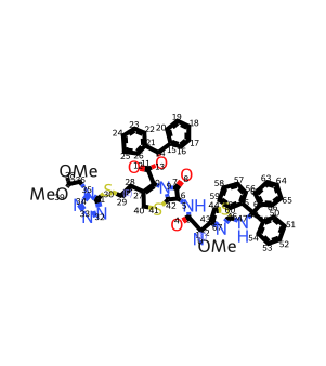 CO/N=C(/C(=O)NC1C(=O)N2C(C(=O)OC(c3ccccc3)c3ccccc3)=C(/C=C/Sc3nnnn3CC(OC)OC)CSC12)c1csc(NC(c2ccccc2)(c2ccccc2)c2ccccc2)n1